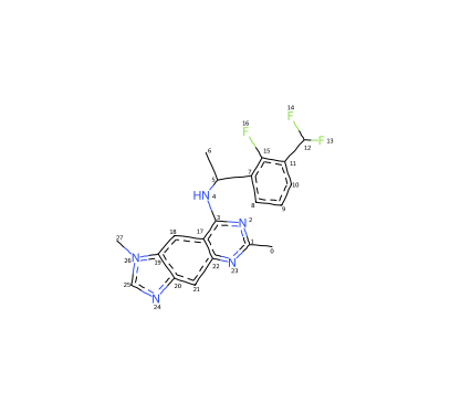 Cc1nc(NC(C)c2cccc(C(F)F)c2F)c2cc3c(cc2n1)ncn3C